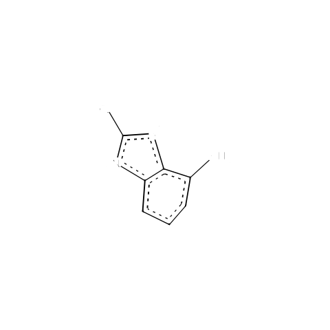 Cc1cccc2nc(Cl)sc12